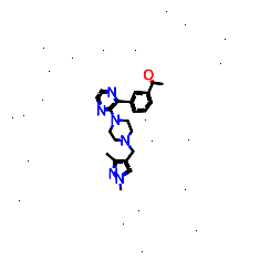 CC(=O)c1cccc(-c2nccnc2N2CCN(Cc3cn(C)nc3C)CC2)c1